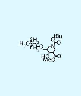 COC(=O)C1=C(O)C(COCC[Si](C)(C)C)CN(C(=O)OC(C)(C)C)C1